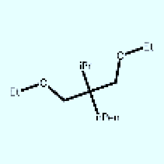 CCCCCC(COCC)(COCC)C(C)C